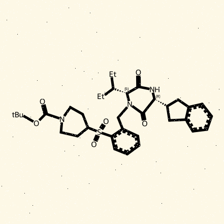 CCC(CC)[C@@H]1C(=O)N[C@H](C2Cc3ccccc3C2)C(=O)N1Cc1ccccc1S(=O)(=O)C1CCN(C(=O)OC(C)(C)C)CC1